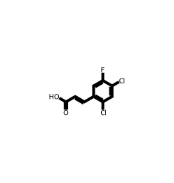 O=C(O)C=Cc1cc(F)c(Cl)cc1Cl